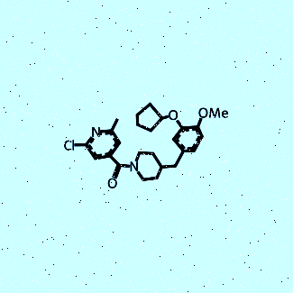 COc1ccc(CC2CCN(C(=O)c3cc(C)nc(Cl)c3)CC2)cc1OC1CCCC1